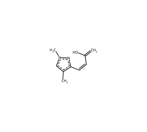 C=C(O)/C=C\c1nn(C)cc1C